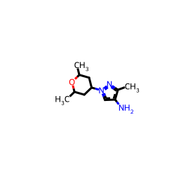 Cc1nn(C2CC(C)OC(C)C2)cc1N